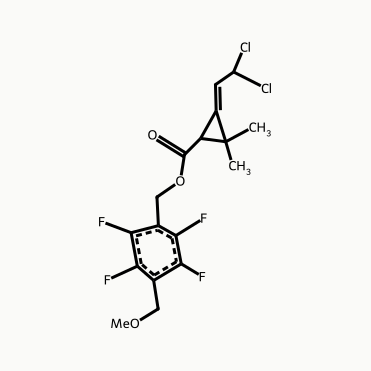 COCc1c(F)c(F)c(COC(=O)C2C(=CC(Cl)Cl)C2(C)C)c(F)c1F